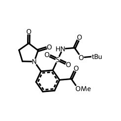 COC(=O)c1cccc(N2CCC(=O)C2=O)c1S(=O)(=O)NC(=O)OC(C)(C)C